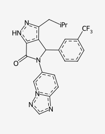 CC(C)Cc1n[nH]c2c1C(c1cccc(C(F)(F)F)c1)N(c1ccc3ncnn3c1)C2=O